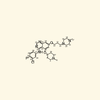 CN1CCC(Oc2cc(OCCCN3CCN(C)CC3)cc3ncnc(Nc4ccc(F)c(Cl)c4)c23)CC1